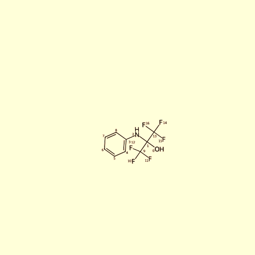 OC(Nc1ccccc1)(C(F)(F)F)C(F)(F)F